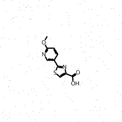 COc1ccc(-c2nc(C(=O)O)cs2)cn1